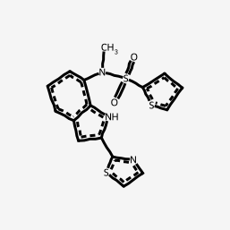 CN(c1cccc2cc(-c3nccs3)[nH]c12)S(=O)(=O)c1cccs1